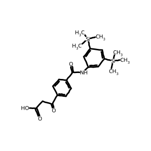 C[Si](C)(C)c1cc(NC(=O)c2ccc(C(=O)CC(=O)O)cc2)cc([Si](C)(C)C)c1